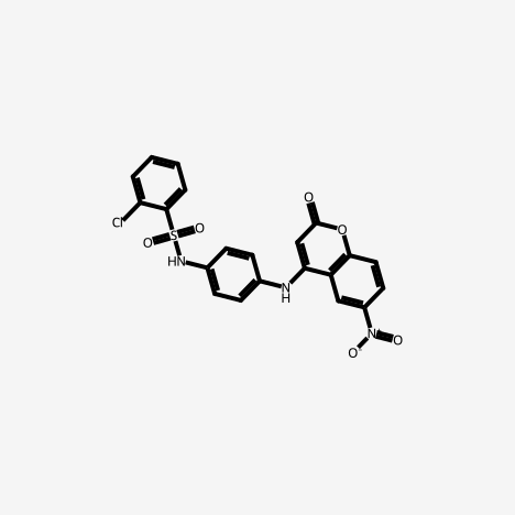 O=c1cc(Nc2ccc(NS(=O)(=O)c3ccccc3Cl)cc2)c2cc([N+](=O)[O-])ccc2o1